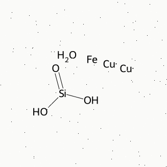 O.O=[Si](O)O.[Cu].[Cu].[Fe]